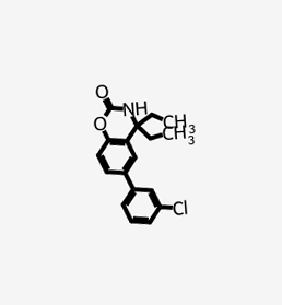 CCC1(CC)NC(=O)Oc2ccc(-c3cccc(Cl)c3)cc21